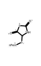 CCCCCSC1NC(=O)SC1=O